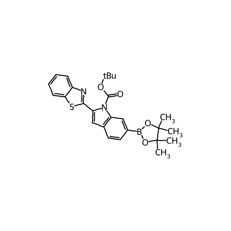 CC(C)(C)OC(=O)n1c(-c2nc3ccccc3s2)cc2ccc(B3OC(C)(C)C(C)(C)O3)cc21